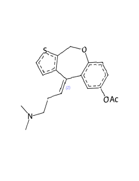 CC(=O)Oc1ccc2c(c1)/C(=C/CCN(C)C)c1ccsc1CO2